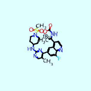 Cc1cnc(NC2CCN(S(C)(=O)=O)CC2)nc1-c1cc(F)c2nccc(C(C)NC(=O)OC(C)(C)C)c2c1